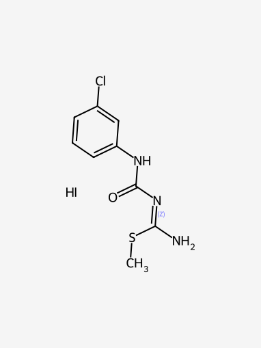 CS/C(N)=N\C(=O)Nc1cccc(Cl)c1.I